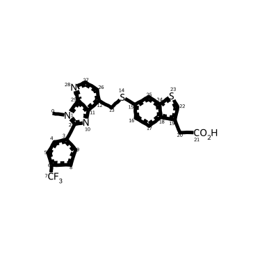 Cn1c(-c2ccc(C(F)(F)F)cc2)nc2c(CSc3ccc4c(CC(=O)O)csc4c3)ccnc21